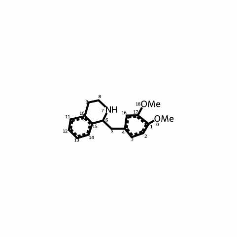 COc1ccc(CC2NCCc3ccccc32)cc1OC